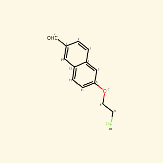 O=Cc1ccc2cc(OCC[18F])ccc2c1